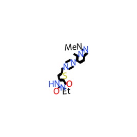 CCn1c(=O)[nH]c2cc(CN3CCN(c4ccc5cnc(NC)n5c4C)CC3)sc2c1=O